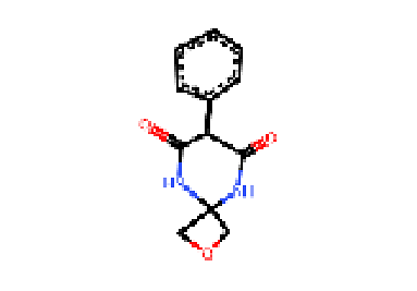 O=C1NC2(COC2)NC(=O)C1c1ccccc1